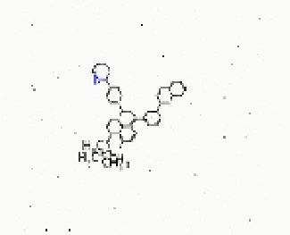 CC(C)(C)C1(C)C=c2ccc3c(-c4ccc(C5CC=CC=N5)cc4)cc(-c4cccc(-c5ccc6ccccc6c5)c4)c4ccc(c2c34)C1